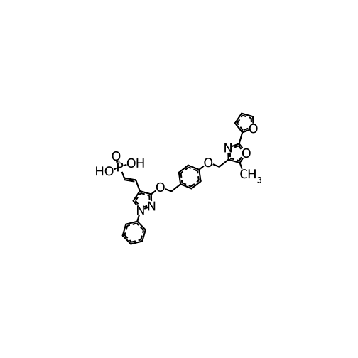 Cc1oc(-c2ccco2)nc1COc1ccc(COc2nn(-c3ccccc3)cc2/C=C/P(=O)(O)O)cc1